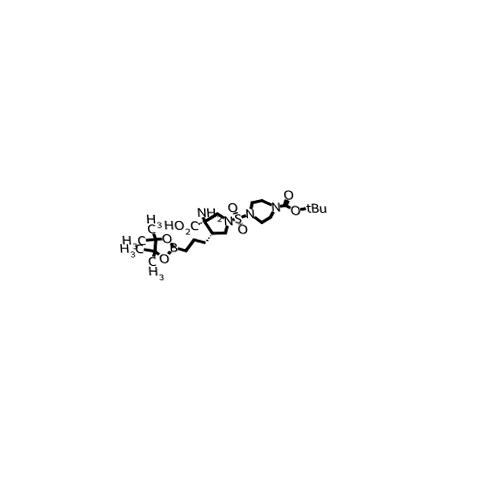 CC(C)(C)OC(=O)N1CCN(S(=O)(=O)N2C[C@H](CCCB3OC(C)(C)C(C)(C)O3)[C@](N)(C(=O)O)C2)CC1